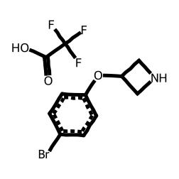 Brc1ccc(OC2CNC2)cc1.O=C(O)C(F)(F)F